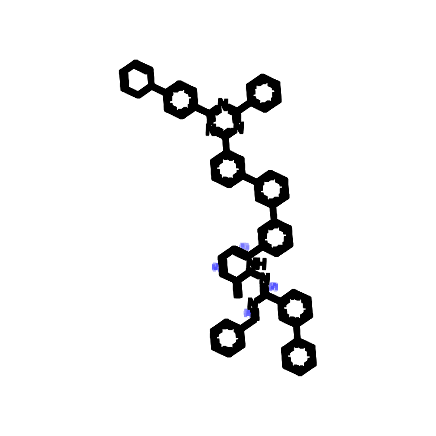 C=C(/C=C\C=C\c1cccc(-c2cccc(-c3cccc(-c4nc(-c5ccccc5)nc(-c5ccc(C6C=CC=CC6)cc5)n4)c3)c2)c1)C(=N)/N=C(\N=C\c1ccccc1)c1cccc(-c2ccccc2)c1